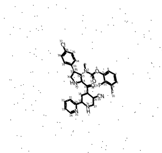 CN(C(=O)Oc1cccc(F)c1F)[C@@H]1C(C(=O)C2CC(c3ccccn3)NCC2C#N)NC[C@H]1c1ccc(Cl)cc1